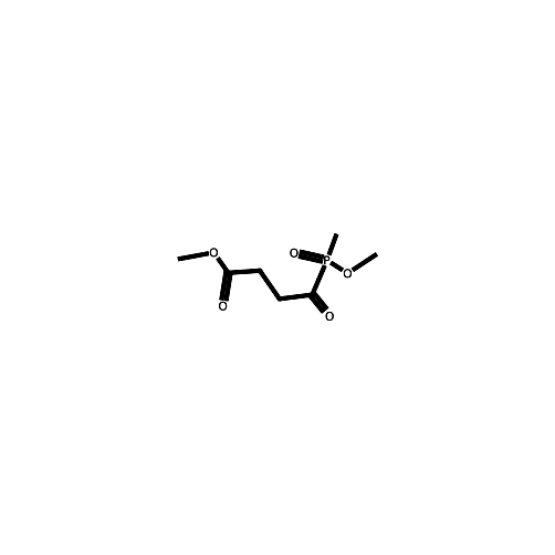 COC(=O)CCC(=O)P(C)(=O)OC